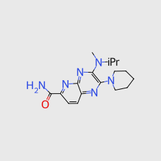 CC(C)N(C)c1nc2nc(C(N)=O)ccc2nc1N1CCCCC1